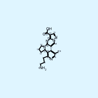 NCCCc1ncc(F)cc1C1CCCN1c1ccn2ncc(C(=O)O)c2n1